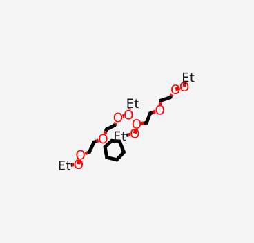 C1CCCCC1.CCOOCCOCCOOCC.CCOOCCOCCOOCC